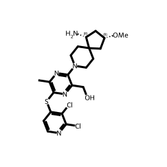 CO[C@H]1C[C@@H](N)C2(CCN(c3nc(C)c(Sc4ccnc(Cl)c4Cl)nc3CO)CC2)C1